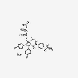 CC(C)n1c(CC[C@@H](O)C[C@@H](O)CC(=O)[O-])c(-c2ccc(F)cc2)c(-c2ccc(F)cc2)c1C(=O)Nc1ccc(S(N)(=O)=O)cc1.[Na+]